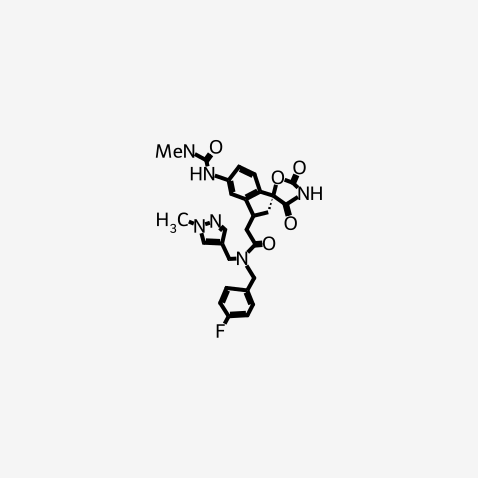 CNC(=O)Nc1ccc2c(c1)C(CC(=O)N(Cc1ccc(F)cc1)Cc1cnn(C)c1)C[C@@]21OC(=O)NC1=O